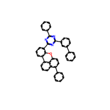 c1ccc(-c2cccc(-c3nc(-c4ccccc4)nc(-c4cccc5c4Oc4ccc(-c6ccccc6)c6cccc-5c46)n3)c2)cc1